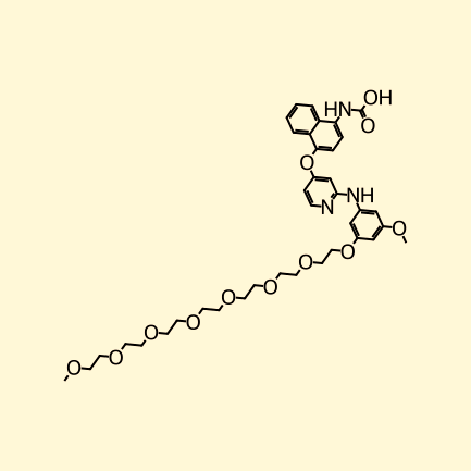 COCCOCCOCCOCCOCCOCCOCCOc1cc(Nc2cc(Oc3ccc(NC(=O)O)c4ccccc34)ccn2)cc(OC)c1